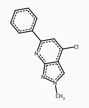 Cn1cc2c(Cl)cc(-c3ccccc3)nc2n1